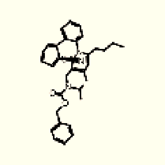 CCCCc1cc(C)c(CN(C(=O)OCc2ccccc2)C(C)C)c(=O)n1-c1ccccc1-c1ccccc1C#N